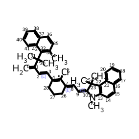 C=C(/C=C/C1=C(Cl)C(=C/C=C2/N(C)c3ccc4ccccc4c3C2(C)C)/CCC1)C(C)(C)c1c(C)ccc2ccccc12